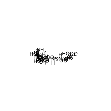 Nc1ccn([C@@H]2O[C@H](COP(=O)(O)O[C@@]3(C(=O)O)C[C@H](O)[C@@H](NC(=O)CNC(=O)CCCC(=O)NCCSSCCNC(=O)COCC(=O)N4CCN(C(=O)c5ccccc5-c5c6ccc(=O)cc-6oc6cc(O)ccc56)CC4)[C@H]([C@H](O)[C@H](O)CO)O3)C[C@H]2O)c(=O)n1